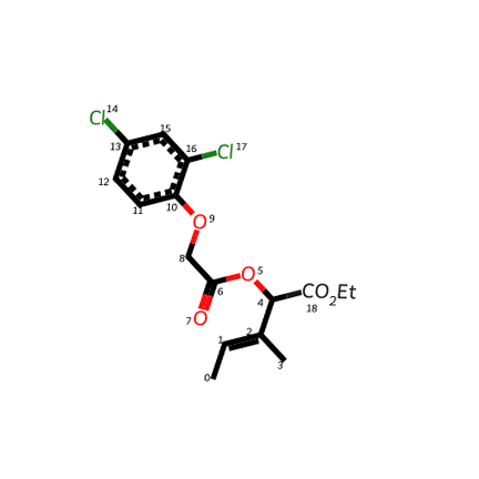 CC=C(C)C(OC(=O)COc1ccc(Cl)cc1Cl)C(=O)OCC